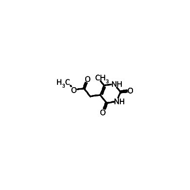 COC(=O)Cc1c(C)[nH]c(=O)[nH]c1=O